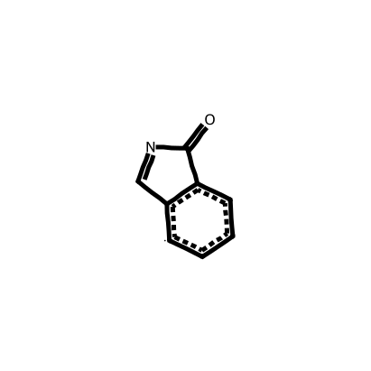 O=C1N=Cc2[c]cccc21